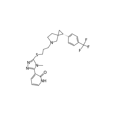 Cn1c(SCCCN2CCC3(C[C@@H]3c3ccc(C(F)(F)F)cc3)C2)nnc1-c1ccc[nH]c1=O